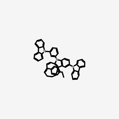 CCC1CCC/C=C(c2ccccc2)/C=C\c2c1c1cc(-n3c4ccccc4c4ccccc43)ccc1n2-c1cccc(-n2c3ccccc3c3ccccc32)c1